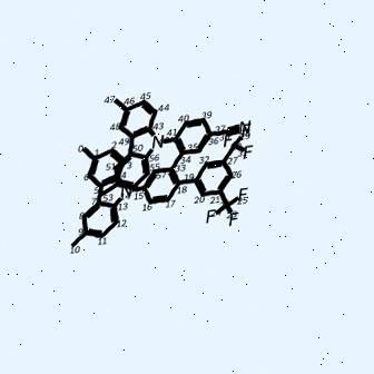 Cc1ccc2c(c1)c1cc(C)ccc1n2-c1ccc(-c2cc(C(F)(F)F)cc(C(F)(F)F)c2)c(-c2cc(C#N)ccc2-n2c3ccc(C)cc3c3cc(C)ccc32)c1